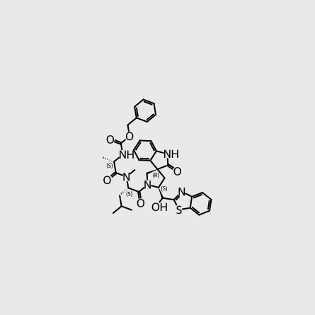 CC(C)C[C@@H](C(=O)N1C[C@]2(C[C@H]1C(O)c1nc3ccccc3s1)C(=O)Nc1ccccc12)N(C)C(=O)[C@H](C)NC(=O)OCc1ccccc1